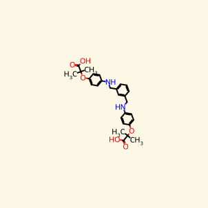 CC(C)(Oc1ccc(NCc2cccc(CNc3ccc(OC(C)(C)C(=O)O)cc3)c2)cc1)C(=O)O